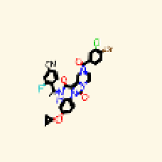 C[C@H](NC(=O)c1c2n(c(=O)n1-c1ccc(OC3CC3)cc1)CCN(C(=O)c1ccc(Br)c(Cl)c1)C2)c1ccc(C#N)cc1F